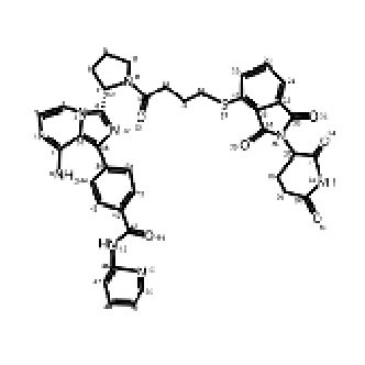 Nc1nccn2c([C@@H]3CCCN3C(=O)CCCSc3cccc4c3C(=O)N(C3CCC(=O)NC3=O)C4=O)nc(-c3ccc(C(=O)Nc4ccccn4)cc3)c12